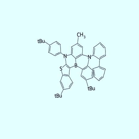 Cc1cc2c3c(c1)N(c1ccc(C(C)(C)C)cc1)c1sc4cc(C(C)(C)C)ccc4c1B3c1cc(C(C)(C)C)ccc1N2c1ccccc1-c1ccccc1